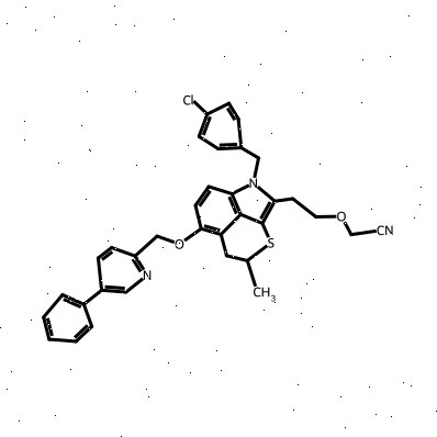 CC1Cc2c(OCc3ccc(-c4ccccc4)cn3)ccc3c2c(c(CCOCC#N)n3Cc2ccc(Cl)cc2)S1